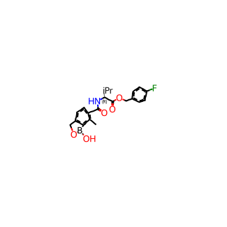 Cc1c(C(=O)N[C@@H](C(=O)OCc2ccc(F)cc2)C(C)C)ccc2c1B(O)OC2